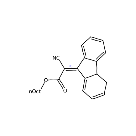 CCCCCCCCOC(=O)/C(C#N)=C1\C2=CC=CCC2c2ccccc21